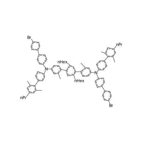 CCCCCCc1cc(-c2ccc(N(c3ccc(-c4ccc(Br)cc4)cc3)c3ccc(-c4c(C)cc(CCC)cc4C)cc3)cc2C)c(CCCCCC)cc1-c1ccc(N(c2ccc(-c3ccc(Br)cc3)cc2)c2ccc(-c3c(C)cc(CCC)cc3C)cc2)cc1C